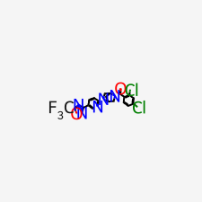 O=C(c1ccc(Cl)cc1Cl)N1CC2CC1CN2c1ccc(-c2noc(C(F)(F)F)n2)cn1